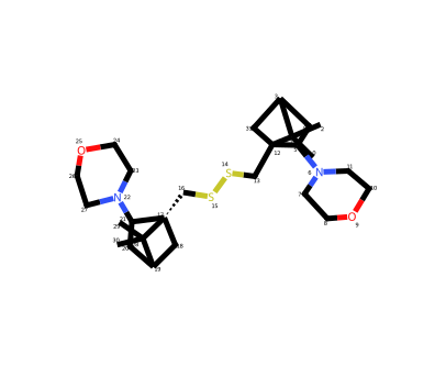 CC1(C)C2CC(N3CCOCC3)C1(CSSC[C@@]13CC(CC1N1CCOCC1)C3(C)C)C2